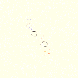 CN(C)[C@@H]1CCN(c2ccc(N3CCc4cc(OS(=O)(=O)C(F)(F)F)ccc4C3=O)cc2F)C1